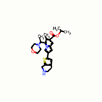 Cc1c(C(=O)OC(C)C)cc2cc(-c3cc4c(s3)CNCC4)cn2c1C(C)N1CCOCC1